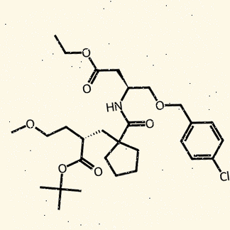 CCOC(=O)C[C@@H](COCc1ccc(Cl)cc1)NC(=O)C1(C[C@@H](CCOC)C(=O)OC(C)(C)C)CCCC1